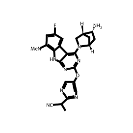 CNc1cc(F)cc2c1[nH]c1nc(Oc3cnc(C(C)C#N)nc3)nc(N3C[C@H]4C[C@@H]3C[C@H]4N)c12